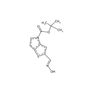 CC(C)(C)OC(=O)n1ccc2sc(C=NO)cc21